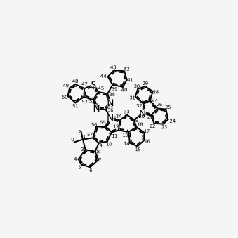 CC1(C)c2ccccc2-c2cc3c4c5ccccc5c(-n5c6ccccc6c6ccccc65)cc4n(-c4nc(-c5ccccc5)c5sc6ccccc6c5n4)c3cc21